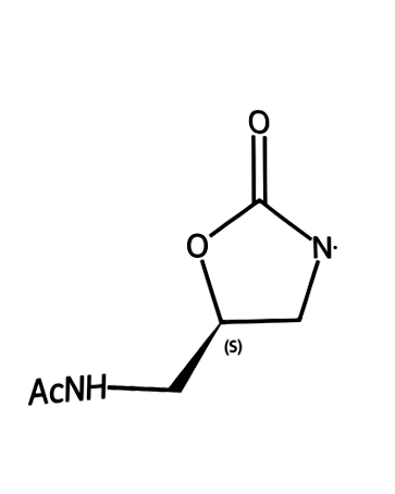 CC(=O)NC[C@@H]1C[N]C(=O)O1